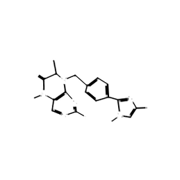 CC1C(=O)N(C)c2cnc(Cl)nc2N1Cc1ccc(-c2nc(C(F)(F)F)cn2C)cc1